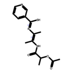 CC(=O)OC(C)C(=O)N/C(C)=C(C)/N=C(\S)c1cccnc1